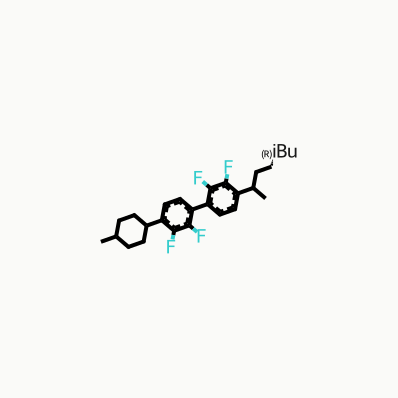 CC[C@@H](C)CCC(C)c1ccc(-c2ccc(C3CCC(C)CC3)c(F)c2F)c(F)c1F